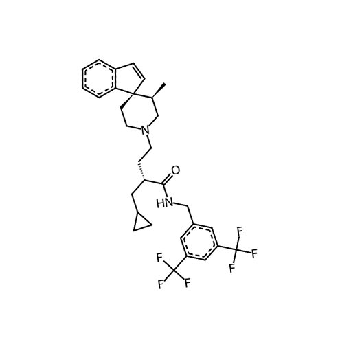 C[C@H]1CN(CC[C@@H](CC2CC2)C(=O)NCc2cc(C(F)(F)F)cc(C(F)(F)F)c2)CC[C@@]12C=Cc1ccccc12